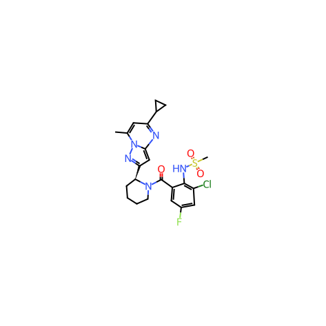 Cc1cc(C2CC2)nc2cc([C@@H]3CCCCN3C(=O)c3cc(F)cc(Cl)c3NS(C)(=O)=O)nn12